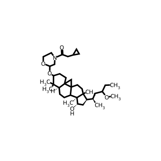 CCC(C[C@@H](C)[C@H]1C[C@H](O)[C@@]2(C)C3CC[C@H]4C(C)(C)C(OC5CN(C(=O)CC6CC6)CCO5)CCC45CC35CCC12C)OC